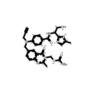 C#CCN(Cc1ccc2nc(C)n(COC(=O)C(C)(C)C)c(=O)c2c1)c1ccc(C(=O)NC(CO)c2nc(C)cs2)cc1